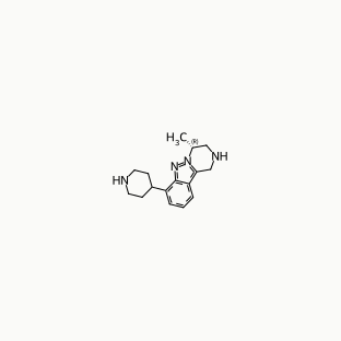 C[C@@H]1CNCc2c3cccc(C4CCNCC4)c3nn21